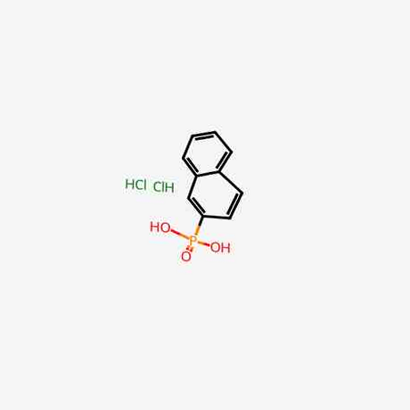 Cl.Cl.O=P(O)(O)c1ccc2ccccc2c1